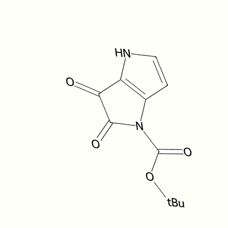 CC(C)(C)OC(=O)N1C(=O)C(=O)c2[nH]ccc21